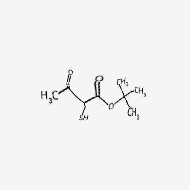 CC(=O)C(S)C(=O)OC(C)(C)C